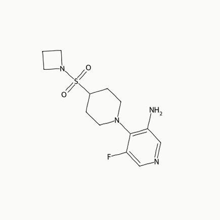 Nc1cncc(F)c1N1CCC(S(=O)(=O)N2CCC2)CC1